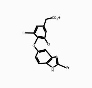 CC(C)c1nc2cc(Oc3c(Cl)cc(CC(=O)O)cc3Cl)ccc2[nH]1